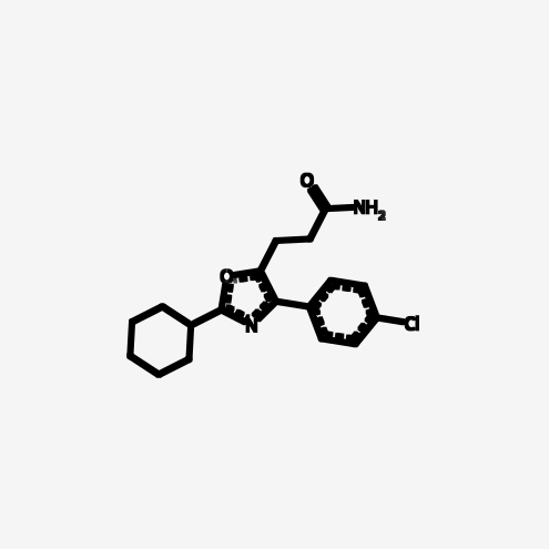 NC(=O)CCc1oc(C2CCCCC2)nc1-c1ccc(Cl)cc1